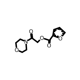 O=C(OCC(=O)N1CCOCC1)c1ccco1